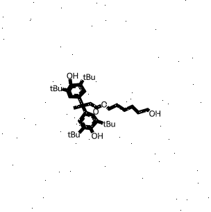 CC(C)(C)c1cc(C(C)(CC(=O)OCCCCCCO)c2cc(C(C)(C)C)c(O)c(C(C)(C)C)c2)cc(C(C)(C)C)c1O